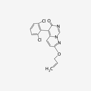 C=CCOc1ccc2c(-c3c(Cl)cccc3Cl)c(=O)ncn2n1